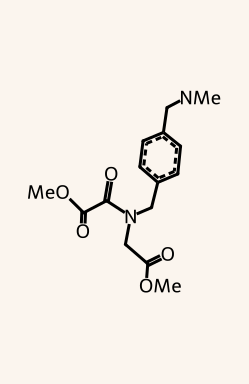 CNCc1ccc(CN(CC(=O)OC)C(=O)C(=O)OC)cc1